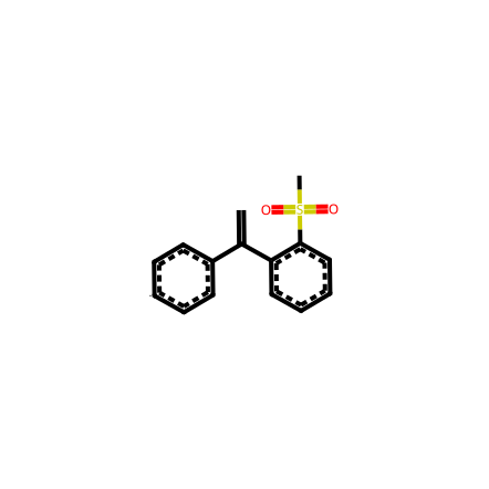 C=C(c1cc[c]cc1)c1ccccc1S(C)(=O)=O